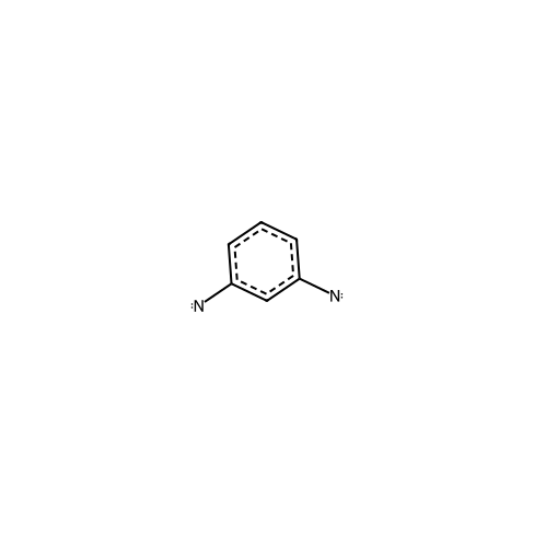 [N]c1cccc([N])c1